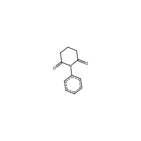 O=C1CCCC(=O)N1c1[c]cccc1